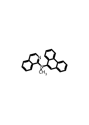 CN(c1nccc2ccccc12)c1cc2ccccc2c2ccccc12